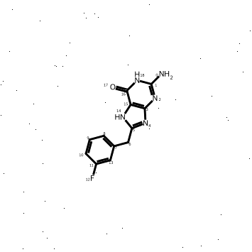 Nc1nc2nc(Cc3cccc(F)c3)[nH]c2c(=O)[nH]1